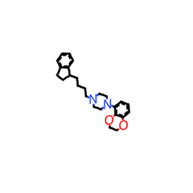 c1ccc2c(c1)CCC2CCCCN1CCN(c2cccc3c2OCCO3)CC1